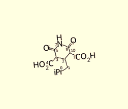 CC(C)CC1C(C(=O)O)C(=O)NC(=O)C1C(=O)O